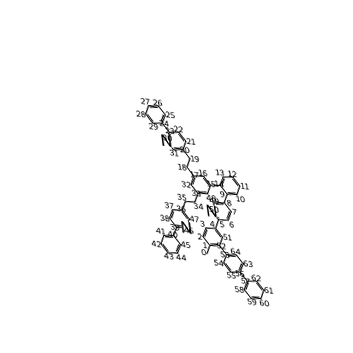 Cc1ccc(-c2ccc(-c3ccccc3-c3cc(CCc4ccc(-c5ccccc5)nc4)cc(CCc4ccc(-c5ccccc5)nc4)c3)cn2)cc1-c1ccc(-c2ccccc2)cc1